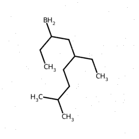 BC(CC)CC(CC)CCC(C)C